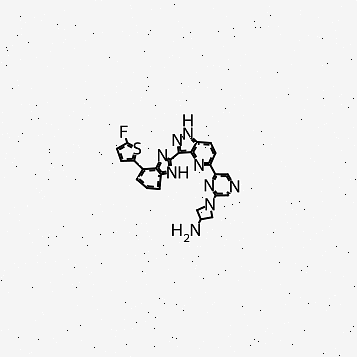 NC1CN(c2cncc(-c3ccc4[nH]nc(-c5nc6c(-c7ccc(F)s7)cccc6[nH]5)c4n3)n2)C1